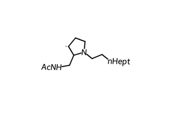 CCCCCCCCCN1CC[CH]C1CNC(C)=O